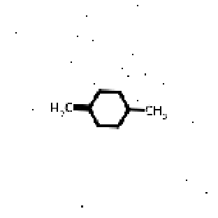 C=C1CCC(C)CC1